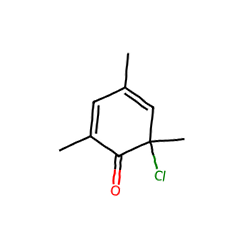 CC1=CC(C)(Cl)C(=O)C(C)=C1